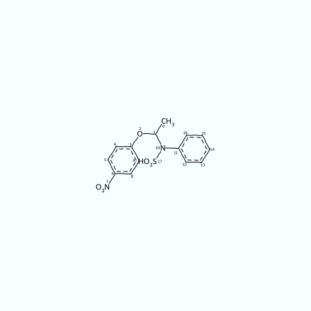 CC(Oc1ccc([N+](=O)[O-])cc1)N(c1ccccc1)S(=O)(=O)O